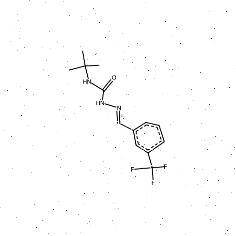 CC(C)(C)NC(=O)N/N=C/c1cccc(C(F)(F)F)c1